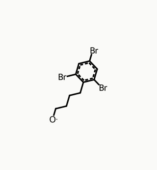 [O]CCCCc1c(Br)cc(Br)cc1Br